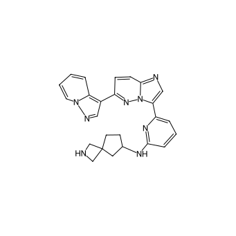 c1cc(NC2CCC3(CNC3)C2)nc(-c2cnc3ccc(-c4cnn5ccccc45)nn23)c1